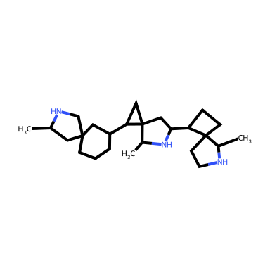 CC1CC2(CCCC(C3CC34CC(C3CCC35CCNC5C)NC4C)C2)CN1